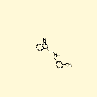 CN(CCc1c[nH]c2ccccc12)Cc1cccc(O)c1